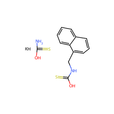 NC(O)=S.OC(=S)NCc1cccc2ccccc12.[KH]